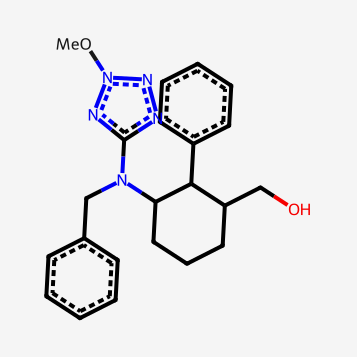 COn1nnc(N(Cc2ccccc2)C2CCCC(CO)C2c2ccccc2)n1